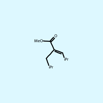 COC(=O)C(=CC(C)C)CC(C)C